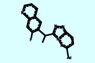 CC(=O)c1ccc2nnc(C(C)c3cc4cccnc4cc3F)n2n1